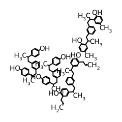 C=CCc1cc(C(C)Cc2cccc(CC(C)c3ccc(O)c(CC=C)c3)c2)ccc1O.CC(Cc1cccc(CC(C)c2ccc(O)cc2)c1)c1ccc(O)cc1.CC(Cc1cccc(CC(C)c2ccc(O)cc2)c1)c1ccc(O)cc1.Cc1ccc(O)c(C(C)Cc2cccc(CC(C)c3cc(C)ccc3O)c2)c1